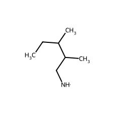 CCC(C)C(C)C[NH]